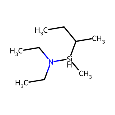 CCC(C)[SiH](C)N(CC)CC